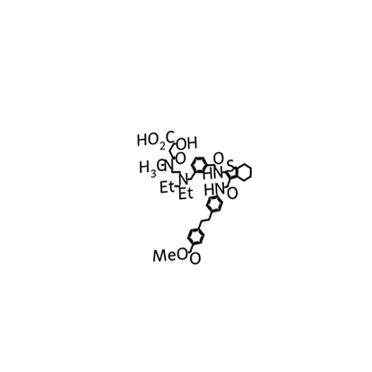 CCC(CC)N(CCN(C)C(=O)C[C@H](O)C(=O)O)Cc1cccc(C(=O)Nc2sc3c(c2C(=O)Nc2ccc(CCc4ccc(C(=O)OC)cc4)cc2)CCCC3)c1